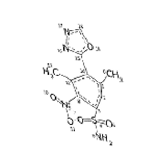 Cc1cc(S(N)(=O)=O)c([N+](=O)[O-])c(C)c1-c1nnco1